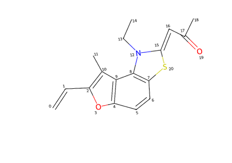 C=Cc1oc2ccc3c(c2c1C)N(CC)/C(=C/C(C)=O)S3